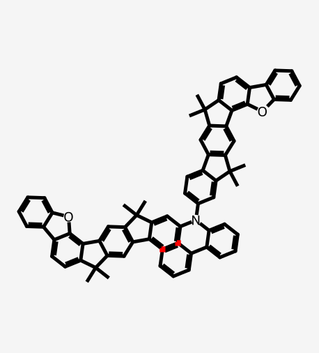 CC1(C)c2cc(N(c3ccc4c(c3)C(C)(C)c3cc5c(cc3-4)C(C)(C)c3ccc4c(oc6ccccc64)c3-5)c3ccccc3-c3ccccc3)ccc2-c2cc3c(cc21)-c1c(ccc2c1oc1ccccc12)C3(C)C